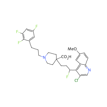 COc1ccc2ncc(Cl)c(C(F)CCC3(C(=O)O)CCN(CCCc4cc(F)cc(F)c4F)CC3)c2c1